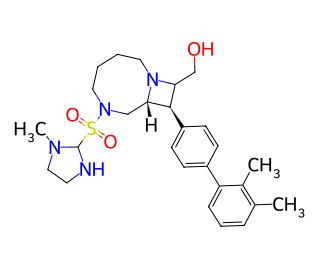 Cc1cccc(-c2ccc([C@@H]3C(CO)N4CCCCN(S(=O)(=O)C5NCCN5C)C[C@@H]34)cc2)c1C